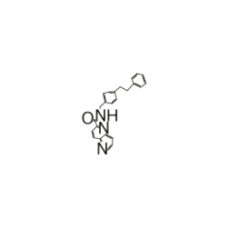 O=C(NCc1ccc(CCc2ccccc2)cc1)c1ccc2ncccc2n1